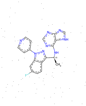 C[C@H](Nc1ncnc2nc[nH]c12)c1nn(-c2ccncc2)c2cc(F)ccc12